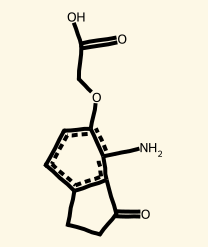 Nc1c(OCC(=O)O)ccc2c1C(=O)CC2